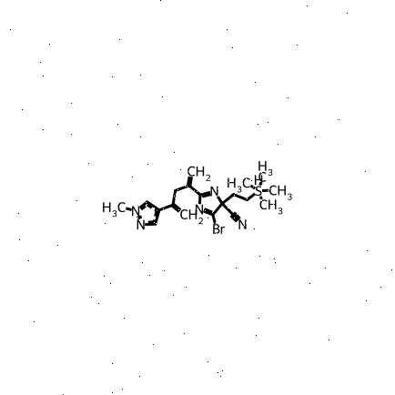 C=C(CC(=C)c1cnn(C)c1)C1=NC(C#N)(CC[SH](C)(C)(C)C)C(Br)=N1